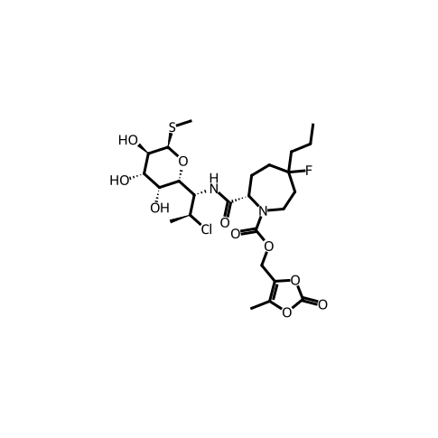 CCCC1(F)CC[C@@H](C(=O)N[C@@H]([C@H]2O[C@H](SC)[C@H](O)[C@@H](O)[C@H]2O)[C@H](C)Cl)N(C(=O)OCc2oc(=O)oc2C)CC1